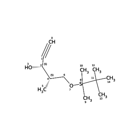 C#C[C@@H](O)[C@@H](C)CO[Si](C)(C)C(C)(C)C